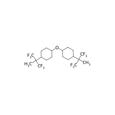 CC(C1CCC(OC2CCC(C(C)(C(F)(F)F)C(F)(F)F)CC2)CC1)(C(F)(F)F)C(F)(F)F